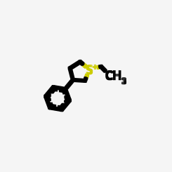 CC[S+]1CCC(c2ccccc2)C1